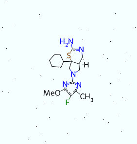 COc1nc(N2C[C@@H]3CN=C(N)S[C@@]3(C3CCCCC3)C2)nc(C)c1F